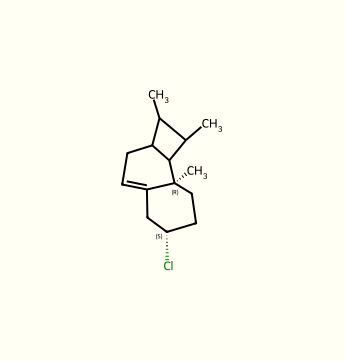 CC1C(C)C2C1CC=C1C[C@@H](Cl)CC[C@@]12C